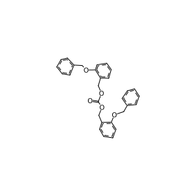 O=C(OCc1ccccc1OCc1ccccc1)OCc1ccccc1OCc1ccccc1